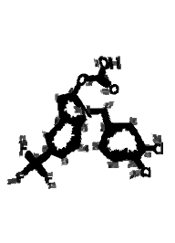 O=C(O)Oc1cc2cc(C(F)(F)F)ccc2n1Cc1ccc(Cl)c(Cl)c1